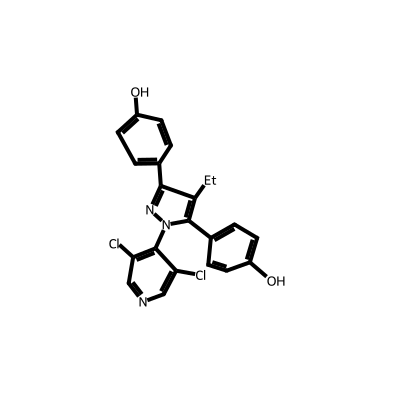 CCc1c(-c2ccc(O)cc2)nn(-c2c(Cl)cncc2Cl)c1-c1ccc(O)cc1